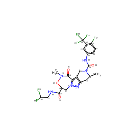 CC1Cc2nn3c(c2CN1C(=O)Nc1ccc(F)c(C(F)(F)F)c1)C(=O)N(C)OC(C(=O)NCC(F)F)C3